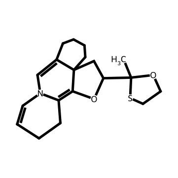 CC1(C2CC34CCCCC3=CN3C=CCCC3=C4O2)OCCS1